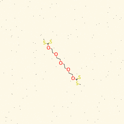 CSC(=S)OCCOCCOCCOCCOC(=S)SC